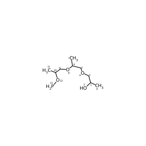 CC(O)COCC(C)OCC(C)OP